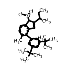 CCC(C)C1=Cc2c(ccc(C)c2-c2cc(C(C)(C)C)cc(C(C)(C)C)c2)[CH]1[Zr]([Cl])[Cl]